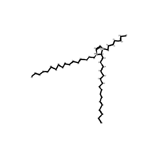 CCCCCCCCCCCCCCCCCC1N(CCCCCCC)C=CN1CCCCCCCCCCCCCCCCC